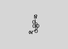 O=C(CCCCN1CCCCC1)c1ccc2oc3ccc(C(=O)CCCCN4CCCCC4)cc3c(=O)c2c1